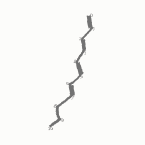 C=CC=CC=CC=CCCC